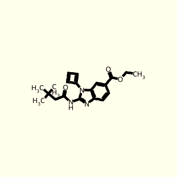 CCOC(=O)c1ccc2nc(NC(=O)CC(C)(C)C)n(C3=CC=C3)c2c1